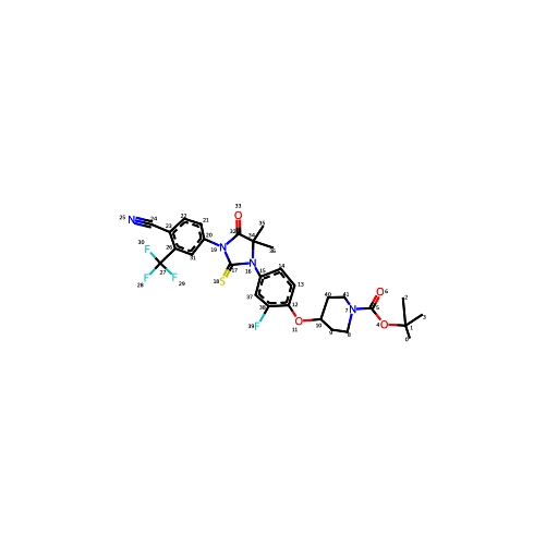 CC(C)(C)OC(=O)N1CCC(Oc2ccc(N3C(=S)N(c4ccc(C#N)c(C(F)(F)F)c4)C(=O)C3(C)C)cc2F)CC1